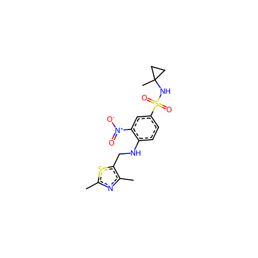 Cc1nc(C)c(CNc2ccc(S(=O)(=O)NC3(C)CC3)cc2[N+](=O)[O-])s1